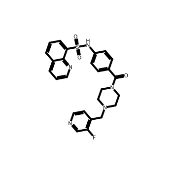 O=C(c1ccc(NS(=O)(=O)c2cccc3cccnc23)cc1)N1CCN(Cc2ccncc2F)CC1